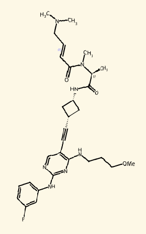 COCCCNc1nc(Nc2cccc(F)c2)ncc1C#C[C@H]1C[C@@H](NC(=O)[C@H](C)N(C)C(=O)/C=C/CN(C)C)C1